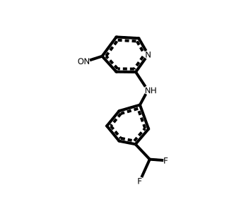 O=Nc1ccnc(Nc2cccc(C(F)F)c2)c1